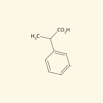 CC(C(=O)O)c1c[c]ccc1